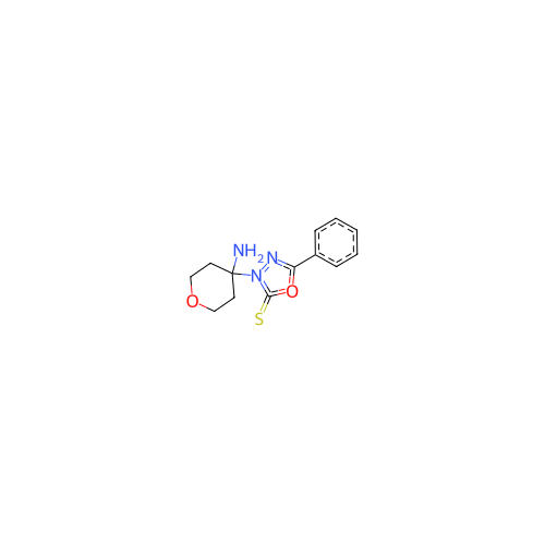 NC1(n2nc(-c3ccccc3)oc2=S)CCOCC1